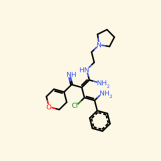 N=C(C1=CCOCC1)C(=C(/N)NCCN1CCCC1)/C(Cl)=C(\N)c1ccccc1